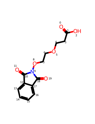 O=C(O)CCOCCON1C(=O)c2ccccc2C1=O